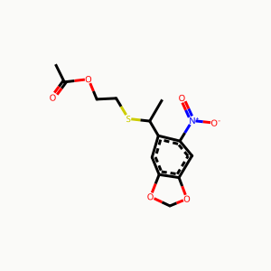 CC(=O)OCCSC(C)c1cc2c(cc1[N+](=O)[O-])OCO2